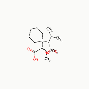 CC(C)C(C(=O)O)C1(C(C(=O)O)C(C)C)CCCCC1